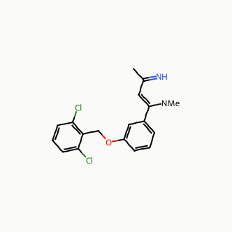 CN/C(=C\C(C)=N)c1cccc(OCc2c(Cl)cccc2Cl)c1